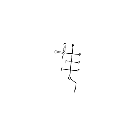 O=S(=O)(F)C(F)(F)C(F)(F)C(F)(F)OCF